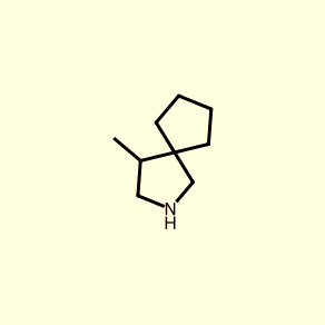 CC1CNCC12CCCC2